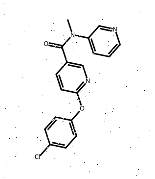 CN(C(=O)c1ccc(Oc2ccc(Cl)cc2)nc1)c1cccnc1